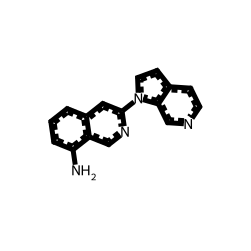 Nc1cccc2cc(-n3ccc4ccncc43)ncc12